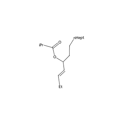 CCC=CC(CCCCCCCCC)OC(=O)C(C)C